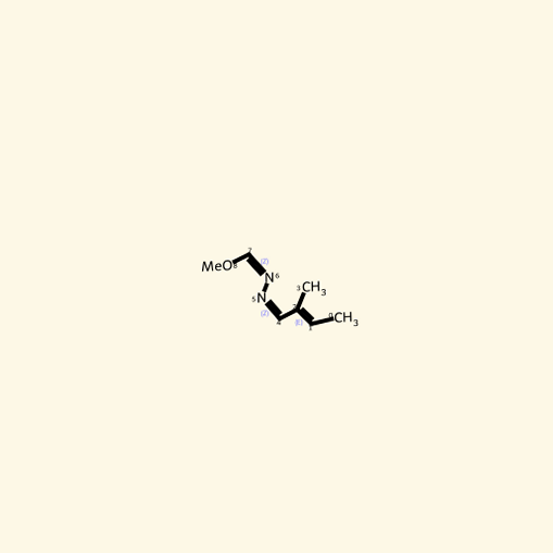 C/C=C(C)/C=N\N=C/OC